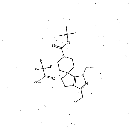 CCc1nn(CC)c2c1CCC21CCN(C(=O)OC(C)(C)C)CC1.O=C(O)C(F)(F)F